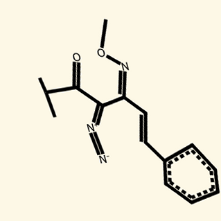 CO/N=C(/C=C/c1ccccc1)C(=[N+]=[N-])C(=O)C(C)C